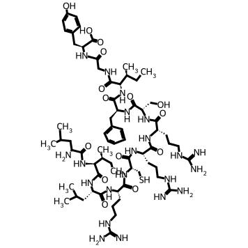 CC[C@H](C)[C@H](NC(=O)[C@H](Cc1ccccc1)NC(=O)[C@H](CO)NC(=O)[C@H](CCCNC(=N)N)NC(=O)[C@H](CCCNC(=N)N)NC(=O)[C@H](CS)NC(=O)[C@H](CCCNC(=N)N)NC(=O)[C@H](CC(C)C)NC(=O)[C@@H](NC(=O)[C@@H](N)CC(C)C)[C@@H](C)CC)C(=O)NCC(=O)N[C@@H](Cc1ccc(O)cc1)C(=O)O